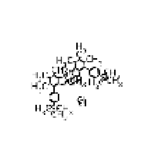 CC1=Cc2c(-c3ccc([Si](C)(C)C)cc3)c(C)c(C)c(C)c2[CH]1[Zr+2]1([CH]2C(C)=Cc3c(-c4ccc([Si](C)(C)C)cc4)c(C)c(C)c(C)c32)[CH2][CH2]1.[Cl-].[Cl-]